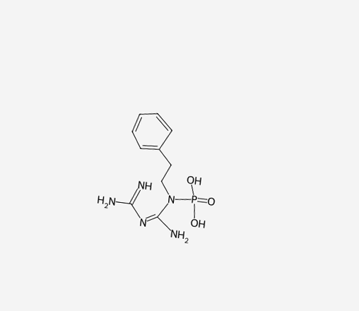 N=C(N)/N=C(/N)N(CCc1ccccc1)P(=O)(O)O